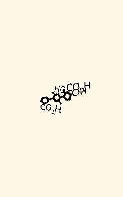 Cc1cc(-c2ccc(O)c(C(=O)O)c2O)c(C)cc1-c1cccc(C(=O)O)c1